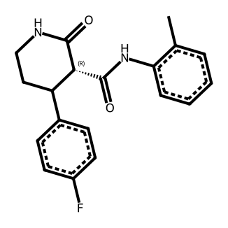 Cc1ccccc1NC(=O)[C@H]1C(=O)NCCC1c1ccc(F)cc1